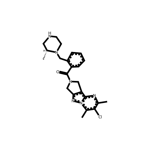 Cc1nc2c3c(nn2c(C)c1Cl)CN(C(=O)c1ccccc1CN1CCNC[C@H]1C)C3